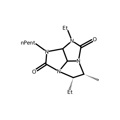 CCCCCN1C(=O)N2C3C1N(CC)C(=O)N3[C@H](C)[C@@H]2CC